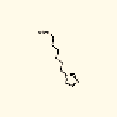 CCCCCCCCCCCC[n+]1ccsc1